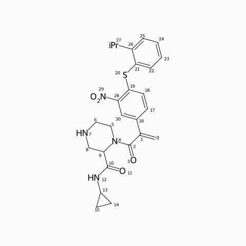 C=C(C(=O)N1CCNCC1C(=O)NC1CC1)c1ccc(Sc2ccccc2C(C)C)c([N+](=O)[O-])c1